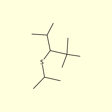 CC(C)SC(C(C)C)C(C)(C)C